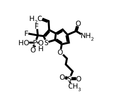 C=Cc1c(C(F)(F)P(=O)(O)O)sc2c(OCCCS(C)(=O)=O)cc(C(N)=O)cc12